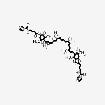 CC(C=CC=C(C)C=CC1=C(C)C(=O)C(OC(=O)CCCNC(=O)n2ccnc2)CC1(C)C)=CC=CC=C(C)C=CC=C(C)C=CC1=C(C)C(=O)C(OC(=O)CCCNC(=O)n2ccnc2)CC1(C)C